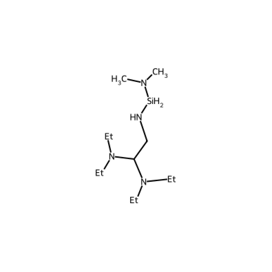 CCN(CC)C(CN[SiH2]N(C)C)N(CC)CC